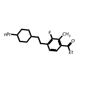 CCCC1CCC(CCc2ccc(C(=O)CC)c(C)c2F)CC1